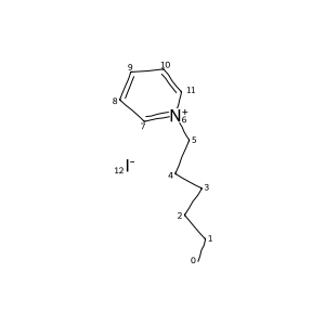 CCCCCC[n+]1ccccc1.[I-]